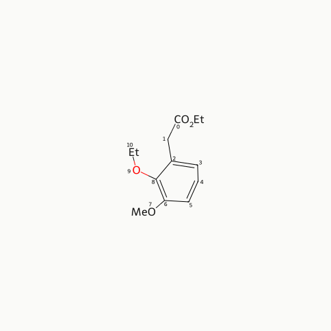 CCOC(=O)Cc1cccc(OC)c1OCC